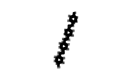 Cc1ccc(COc2ccc(/C=C/c3ccc(OCc4ccc(C)cc4)cc3)cc2)cc1